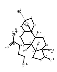 C[C@]12CC[C@@H](O)C[C@@H]1CC[C@@H]1[C@@H]2CC[C@]2(C)C(O)CC[C@@H]12.NCCCC(=O)O